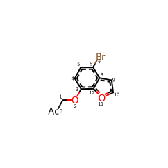 CC(=O)COc1ccc(Br)c2ccoc12